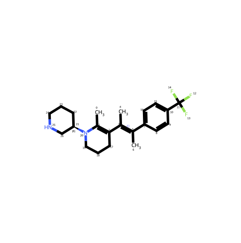 CC1=C(/C(C)=C(\C)c2ccc(C(F)(F)F)cc2)CCCN1[C@@H]1CCCNC1